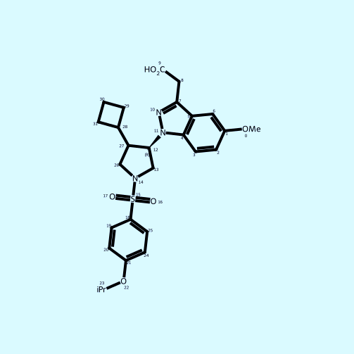 COc1ccc2c(c1)c(CC(=O)O)nn2[C@H]1CN(S(=O)(=O)c2ccc(OC(C)C)cc2)CC1C1CCC1